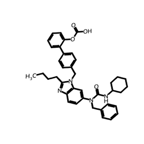 CCCCc1nc2ccc(N(Cc3ccccc3)C(=O)NC3CCCCC3)cc2n1Cc1ccc(-c2ccccc2OC(=O)O)cc1